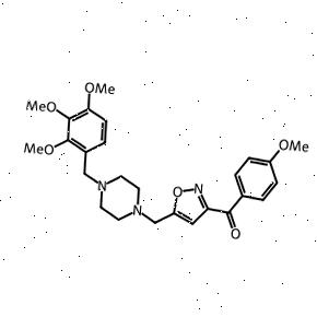 COc1ccc(C(=O)c2cc(CN3CCN(Cc4ccc(OC)c(OC)c4OC)CC3)on2)cc1